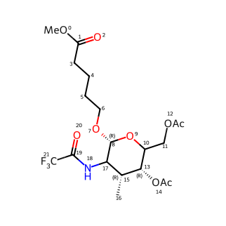 COC(=O)CCCCO[C@@H]1OC(COC(C)=O)[C@H](OC(C)=O)[C@H](C)C1NC(=O)C(F)(F)F